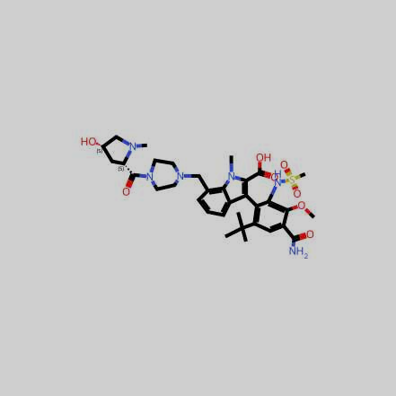 COc1c(C(N)=O)cc(C(C)(C)C)c(-c2c(C(=O)O)n(C)c3c(CN4CCN(C(=O)[C@@H]5C[C@H](O)CN5C)CC4)cccc23)c1NS(C)(=O)=O